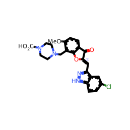 COc1ccc2c(c1CN1CCN(C(=O)O)CC1)O/C(=C\c1n[nH]c3ccc(Cl)cc13)C2=O